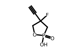 C#CC1(F)COP(=O)(O)C1